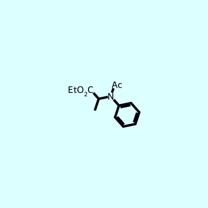 CCOC(=O)C(C)N(C(C)=O)c1ccccc1